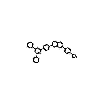 C1=C(c2ccc(-c3ccc4ccc(-c5ccc(-c6nc(-c7ccccc7)nc(-c7ccccc7)n6)cc5)cc4c3)cc2)N=N1